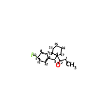 CCC(=O)C1(Cc2ccc(F)cc2)CCCCC1